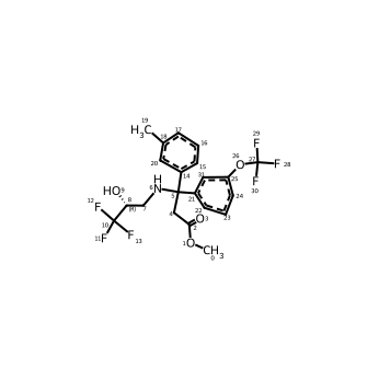 COC(=O)CC(NC[C@@H](O)C(F)(F)F)(c1cccc(C)c1)c1cccc(OC(F)(F)F)c1